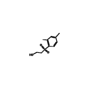 Cc1ccc(S(=O)(=O)CCO)c(C)c1